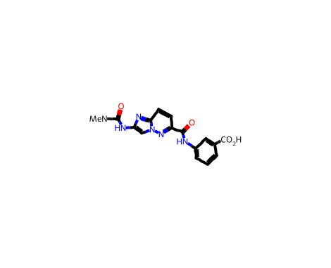 CNC(=O)Nc1cn2nc(C(=O)Nc3cccc(C(=O)O)c3)ccc2n1